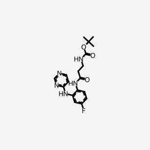 CC(C)(C)OC(=O)NCCC(=O)Nc1ccc(F)cc1Nc1ccncn1